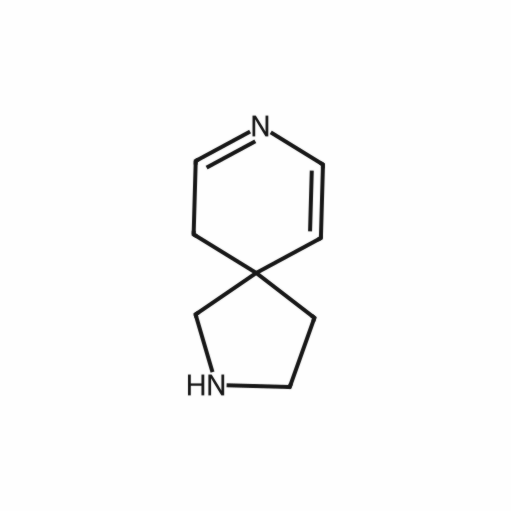 C1=CC2(CC=N1)CCNC2